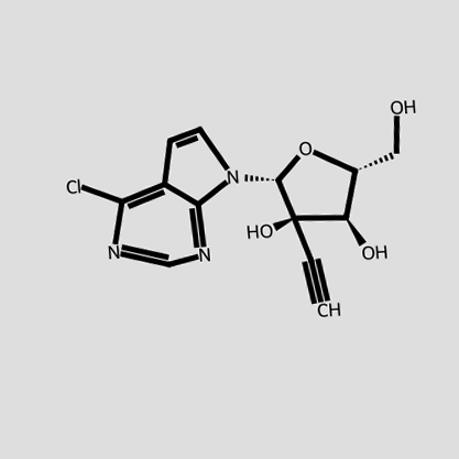 C#C[C@@]1(O)[C@H](O)[C@@H](CO)O[C@H]1n1ccc2c(Cl)ncnc21